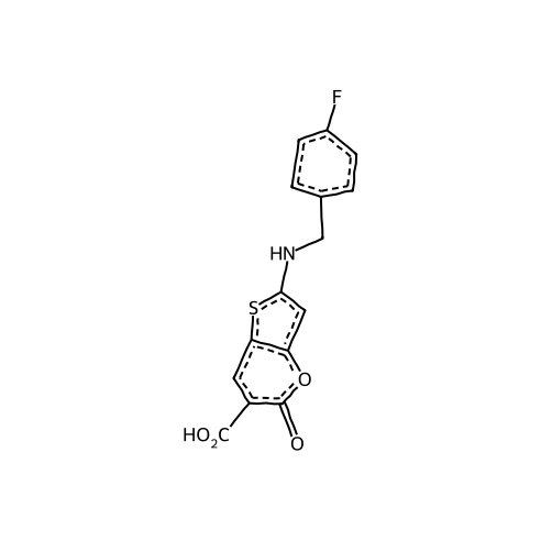 O=C(O)c1cc2sc(NCc3ccc(F)cc3)cc2oc1=O